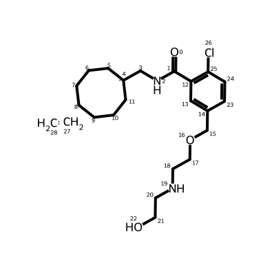 O=C(NC[C]1CCCCCCC1)c1cc(COCCNCCO)ccc1Cl.[CH2].[CH2]